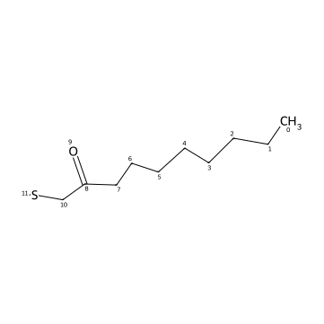 CCCCCCCCC(=O)C[S]